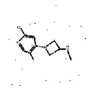 CNC1CN(c2cc(Cl)ncc2Cl)C1